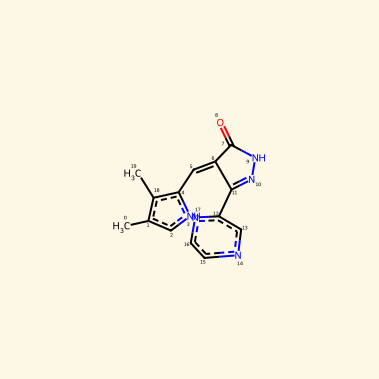 Cc1c[nH]c(/C=C2/C(=O)NN=C2c2cnccn2)c1C